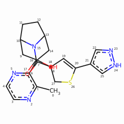 Cc1nccnc1C1(O)CC2CCC(C1)N2C(=O)C1C=C(c2cn[nH]c2)SC1